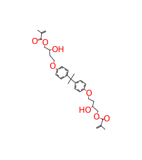 C=C(C)C(=O)OCC(O)CCOc1ccc(C(C)(C)c2ccc(OCCC(O)COC(=O)C(=C)C)cc2)cc1